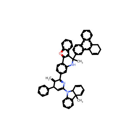 C=C1C(c2ccc3c(c2)NC(C)(c2ccc4c(c2)c2c(c5ccccc54)CCC=C2)c2c-3oc3ccccc23)=NC(N2c3ccccc3C3(C)C=CC=CC23)=CC1c1ccccc1